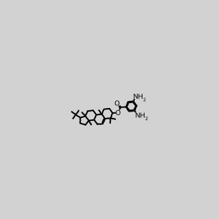 CC(C)(C)C1CCC2(C)C3CC=C4C(C)(C)C(OC(=O)c5cc(N)cc(N)c5)CCC4(C)C3CCC12C